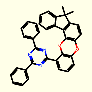 CC1(C)c2ccccc2-c2c1ccc1c2Oc2c(cccc2-c2nc(-c3ccccc3)nc(-c3ccccc3)n2)O1